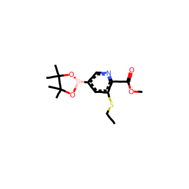 CCSc1cc(B2OC(C)(C)C(C)(C)O2)cnc1C(=O)OC